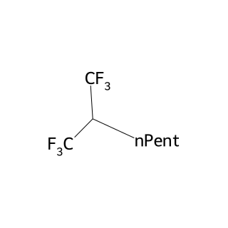 CCCCCC(C(F)(F)F)C(F)(F)F